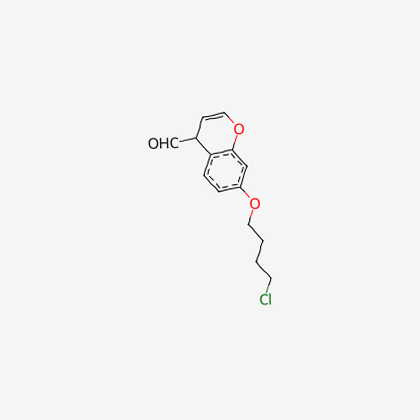 O=CC1C=COc2cc(OCCCCCl)ccc21